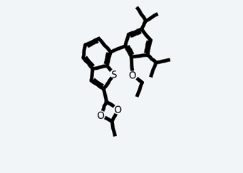 CCOc1c(-c2cccc3cc(C4OC(C)O4)sc23)cc(C(C)C)cc1C(C)C